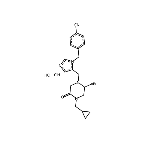 CCCCC1CN(CC2CC2)C(=O)CN1Cc1cncn1Cc1ccc(C#N)cc1.Cl.Cl